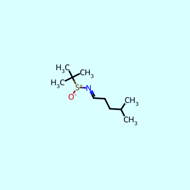 CC(C)CC/C=N/[S+]([O-])C(C)(C)C